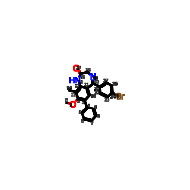 COc1c(-c2ccccc2)cc2c(c1C)NC(=O)CN=C2c1ccc(Br)cc1